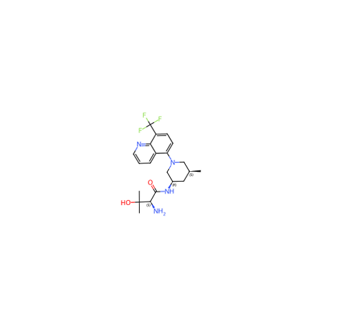 C[C@H]1C[C@@H](NC(=O)[C@@H](N)C(C)(C)O)CN(c2ccc(C(F)(F)F)c3ncccc23)C1